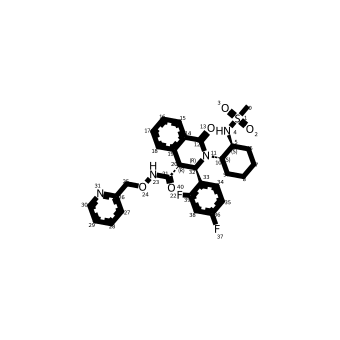 CS(=O)(=O)N[C@H]1CCCC[C@@H]1N1C(=O)c2ccccc2[C@@H](C(=O)NOCc2ccccn2)[C@@H]1c1ccc(F)cc1F